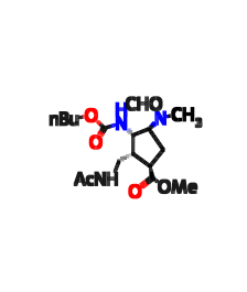 CCCCOC(=O)N[C@H]1[C@@H](CNC(C)=O)[C@H](C(=O)OC)C[C@@H]1N(C)C=O